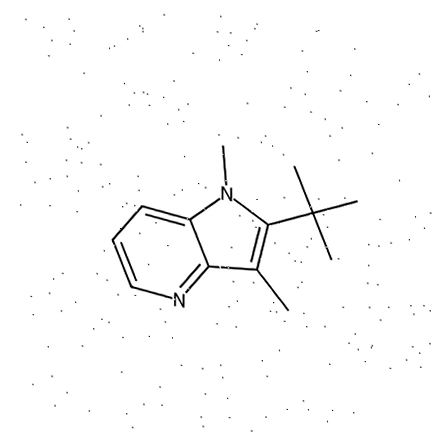 Cc1c(C(C)(C)C)n(C)c2cccnc12